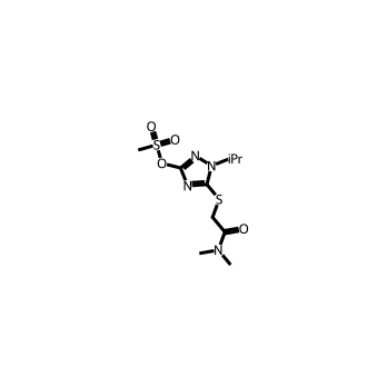 CC(C)n1nc(OS(C)(=O)=O)nc1SCC(=O)N(C)C